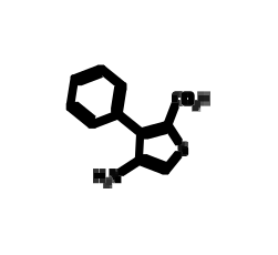 Nc1csc(C(=O)O)c1-c1ccccc1